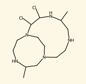 CC1CN2CCNCC(C)NC(Cl)C(Cl)N(CCN1)CC2